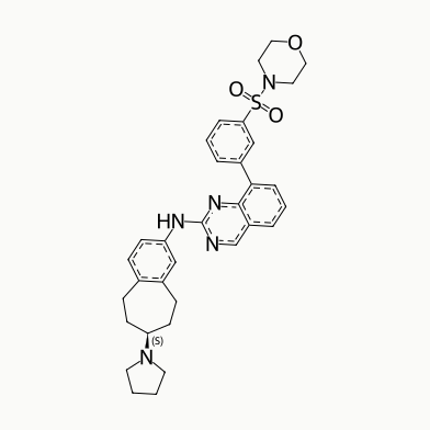 O=S(=O)(c1cccc(-c2cccc3cnc(Nc4ccc5c(c4)CC[C@@H](N4CCCC4)CC5)nc23)c1)N1CCOCC1